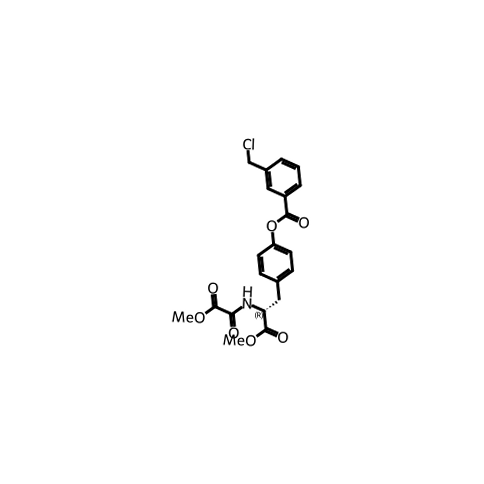 COC(=O)C(=O)N[C@H](Cc1ccc(OC(=O)c2cccc(CCl)c2)cc1)C(=O)OC